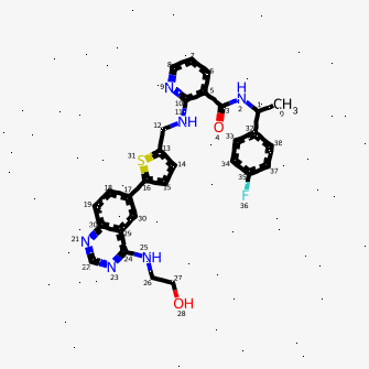 CC(NC(=O)c1cccnc1NCc1ccc(-c2ccc3ncnc(NCCO)c3c2)s1)c1ccc(F)cc1